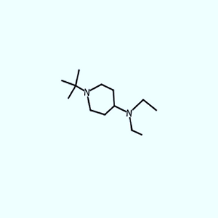 CCN(CC)C1CCN(C(C)(C)C)CC1